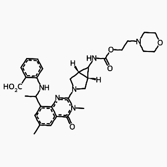 Cc1cc(C(C)Nc2ccccc2C(=O)O)c2nc(N3C[C@@H]4C(NC(=O)OCCN5CCOCC5)[C@@H]4C3)n(C)c(=O)c2c1